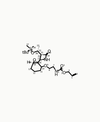 C=CCOC(=O)NCCOC1CCC[C@H]2O[C@]12[C@@H]1NC(=O)[C@@H]1[C@@H](C)O[Si](C)(C)C(C)(C)C